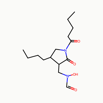 CCCCC(=O)N1CC(CCCC)C(CN(O)C=O)C1=O